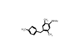 CC(=O)Nc1cc(C)c(Cc2ccc(C)cc2)cc1C